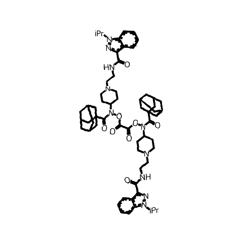 CC(C)n1nc(C(=O)NCCN2CCC(N(OC(=O)C(=O)ON(C(=O)C34CC5CC(CC(C5)C3)C4)C3CCN(CCNC(=O)c4nn(C(C)C)c5ccccc45)CC3)C(=O)C34CC5CC(CC(C5)C3)C4)CC2)c2ccccc21